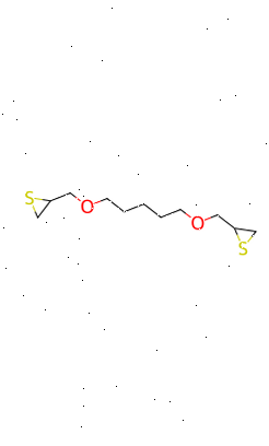 C(CCOCC1CS1)CCOCC1CS1